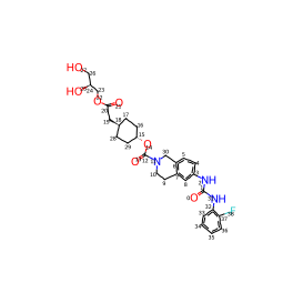 O=C(Nc1ccc2c(c1)CCN(C(=O)O[C@H]1CC[C@H](CC(=O)OC[C@@H](O)CO)CC1)C2)Nc1ccccc1F